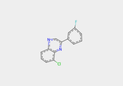 Fc1cccc(-c2cnc3cccc(Cl)c3n2)c1